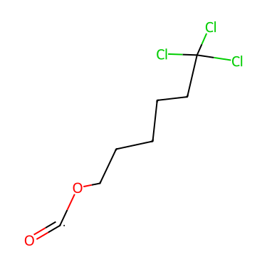 O=[C]OCCCCCC(Cl)(Cl)Cl